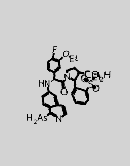 CCOc1cc([C@@H](Nc2ccc3c([AsH2])nccc3c2)C(=O)N2CCC(C(=O)O)C2c2ccccc2S(=O)(=O)CC)ccc1F